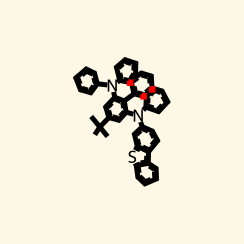 CC(C)(C)c1cc(N(c2ccccc2)c2ccccc2)c(-c2ccccc2)c(N(c2ccccc2)c2ccc3c(c2)sc2ccccc23)c1